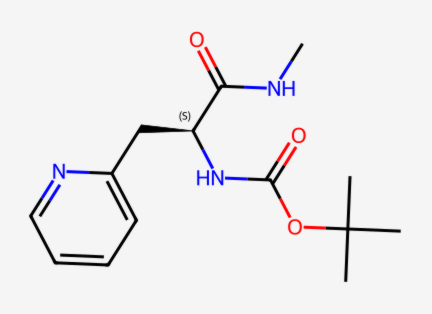 CNC(=O)[C@H](Cc1ccccn1)NC(=O)OC(C)(C)C